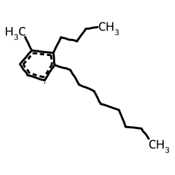 CCCCCCCCc1[c]ccc(C)c1CCCC